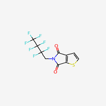 O=C1c2ccsc2C(=O)N1CC(F)(F)C(F)(F)C(F)(F)F